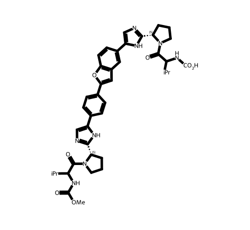 COC(=O)NC(C(=O)N1CCC[C@H]1c1ncc(-c2ccc(-c3cc4cc(-c5cnc([C@@H]6CCCN6C(=O)C(NC(=O)O)C(C)C)[nH]5)ccc4o3)cc2)[nH]1)C(C)C